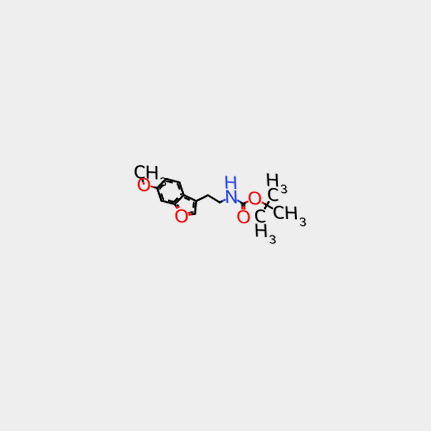 COc1ccc2c(CCNC(=O)OC(C)(C)C)coc2c1